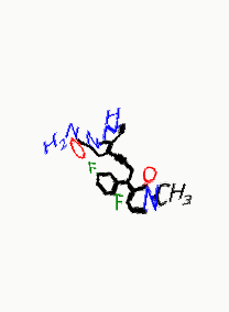 Cn1cccc(C(CC#Cc2cc(C(N)=O)nc3[nH]ccc23)c2cc(F)ccc2F)c1=O